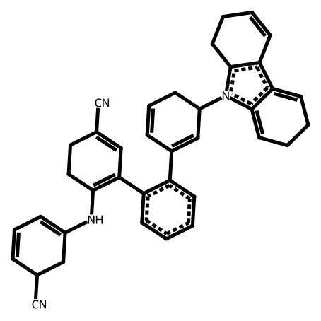 N#CC1=CC(c2ccccc2C2=CC(n3c4c(c5c3=CCCC=5)C=CCC4)CC=C2)=C(NC2=CC=CC(C#N)C2)CC1